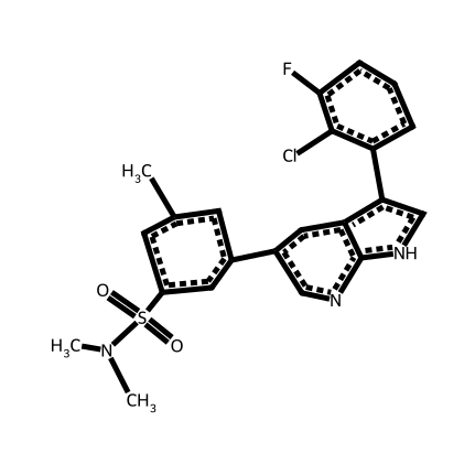 Cc1cc(-c2cnc3[nH]cc(-c4cccc(F)c4Cl)c3c2)cc(S(=O)(=O)N(C)C)c1